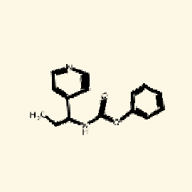 CCC(NC(=O)Oc1ccccc1)c1ccncc1